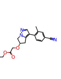 CCOC(=O)CO[C@@H]1Cc2c(-c3ccc(C#N)cc3C)cnn2C1